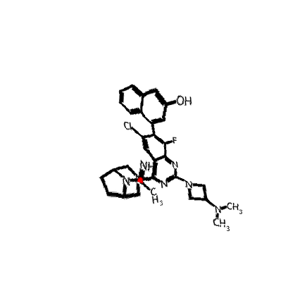 CC(=N)N1C2CCC1CN(c1nc(N3CC(N(C)C)C3)nc3c(F)c(-c4cc(O)cc5ccccc45)c(Cl)cc13)C2